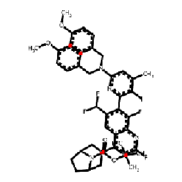 COc1ccc(CN(Cc2ccc(OC)cc2)c2cc(C)c(I)c(-c3c(C(F)F)cc4c(N5CC6CCC(C5)N6C(=O)OC(C)(C)C)nc(F)nc4c3F)n2)cc1